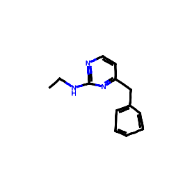 CCNc1nccc(Cc2ccccc2)n1